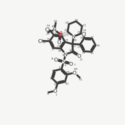 COc1ccc(S(=O)(=O)N2C(=O)C(c3ccccc3Cl)(N3CCCC[C@H]3C(=O)N(C)C)c3cc(Cl)c(Cl)cc32)c(OC)c1